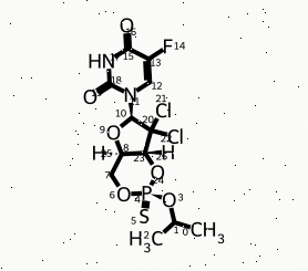 CC(C)O[P@@]1(=S)OC[C@H]2O[C@@H](n3cc(F)c(=O)[nH]c3=O)C(Cl)(Cl)[C@@H]2O1